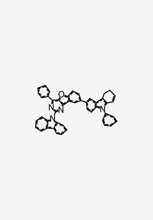 C1=Cc2c(c3cc(-c4ccc5oc6c(-c7ccccc7)nc(-n7c8ccccc8c8ccccc87)nc6c5c4)ccc3n2-c2ccccc2)CC1